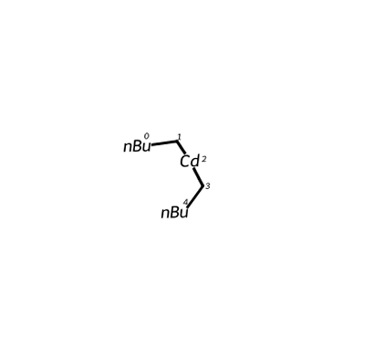 CCCC[CH2][Cd][CH2]CCCC